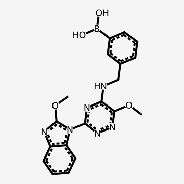 COc1nnc(-n2c(OC)nc3ccccc32)nc1NCc1cccc(B(O)O)c1